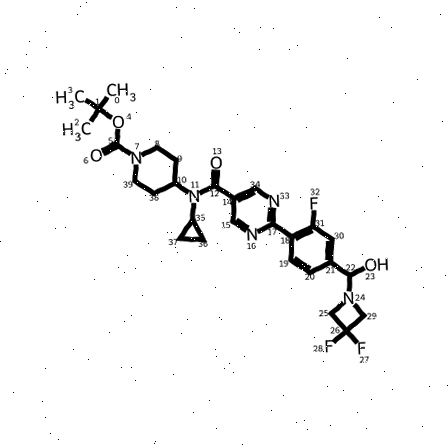 CC(C)(C)OC(=O)N1CCC(N(C(=O)c2cnc(-c3ccc(C(O)N4CC(F)(F)C4)cc3F)nc2)C2CC2)CC1